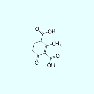 CC1=C(C(=O)O)C(=O)CCC1C(=O)O